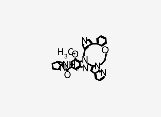 COc1cc(C(=O)N2CC3CCC2C3N)cc2nc3n(c12)Cc1cncc(c1)-c1ccccc1OCCCn1c-3cc2cccnc21